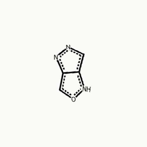 c1o[nH]c2cnnc1-2